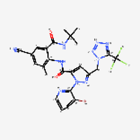 Cc1cc(C#N)cc(C(=O)NC(C)(C)C)c1NC(=O)c1cc(Cn2nnnc2C(F)(F)F)nn1-c1ncccc1Br